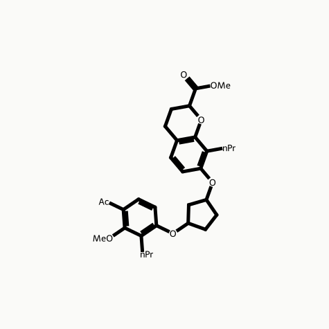 CCCc1c(OC2CCC(Oc3ccc(C(C)=O)c(OC)c3CCC)C2)ccc2c1OC(C(=O)OC)CC2